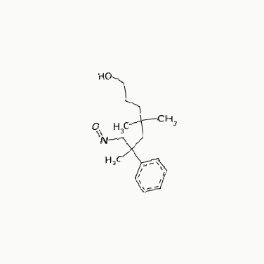 CC(C)(CCCO)CC(C)(CN=O)c1ccccc1